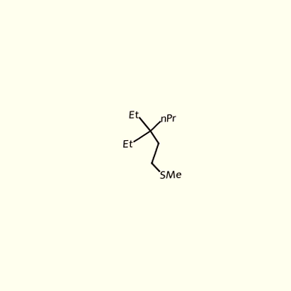 CCCC(CC)(CC)CCSC